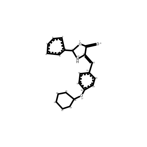 O=C1OC(c2ccccc2)N/C1=C\c1ccc(OC2CCCCC2)cc1